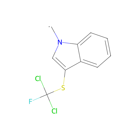 [CH2]n1cc(SC(F)(Cl)Cl)c2ccccc21